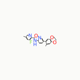 Cc1cnc(C(=O)Nc2ccc(-c3cc4c(cc3C)OCCO4)cn2)c(F)c1